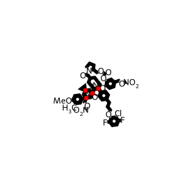 COc1ccc(CN(C(=O)C2=C(c3ccc(CCCOc4c(F)ccc(F)c4Cl)cc3)CC3CC(C(=O)N4CCCC4COC(=O)Oc4cccc(CO[N+](=O)[O-])c4)CC2N3C(=O)Oc2cccc(CO[N+](=O)[O-])c2)C2CC2)cc1C